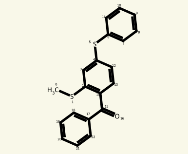 CSc1cc(Sc2ccccc2)ccc1C(=O)c1ccccc1